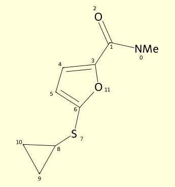 CNC(=O)c1ccc(SC2CC2)o1